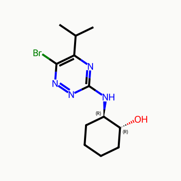 CC(C)c1nc(N[C@@H]2CCCC[C@H]2O)nnc1Br